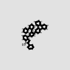 CCn1c(-c2ccccc2)cc2c(-c3ccc(-c4ccc5c6ccccc6c6ccccc6c5c4)c(-c4ccccc4-c4ccccc4)c3)cccc21